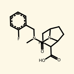 CN(Cc1ccccc1F)C(=O)N1C2CCC1C(C(=O)O)NC2